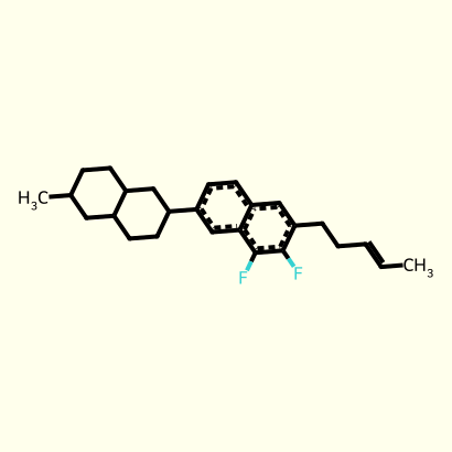 C/C=C/CCc1cc2ccc(C3CCC4CC(C)CCC4C3)cc2c(F)c1F